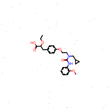 CCOC(Cc1ccc(OCCN(CC2CC2)C(=O)Nc2ccccc2OC)cc1)C(=O)O